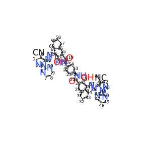 N#Cc1cnn(-c2ncccn2)c1/N=N/c1c(O)c(C(=O)Nc2ccc(NC(=O)c3cc4ccccc4c(/N=N/c4c(C#N)cnn4-c4ncccn4)c3O)cc2)cc2ccccc12